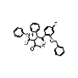 CC(C)C(=O)C(C(=O)Nc1ccccc1)C(C(=O)c1ccc(F)cc1OCc1ccccc1)c1ccccc1